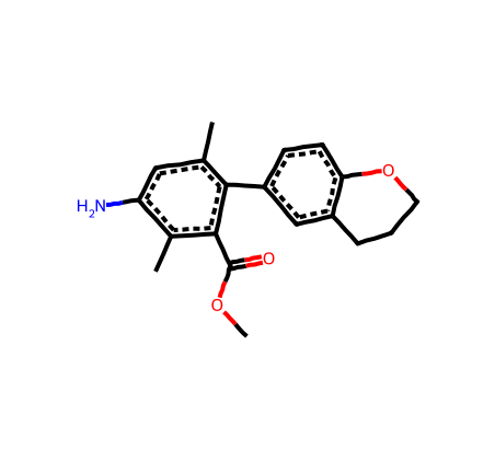 COC(=O)c1c(C)c(N)cc(C)c1-c1ccc2c(c1)CCCO2